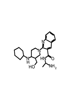 CC(N)NC(=O)c1cc2ccccc2nc1N1CCC(NC2CCCCC2)C(CO)C1